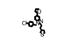 CN1CCC(CCc2nc3cc(-c4ccco4)ccc3n2Cc2ccc(Cl)cc2)C1